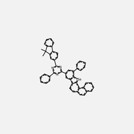 CC1(C)c2ccccc2-c2ccc(-c3nc(-c4ccccc4)nc(-c4cc(-c5ccccc5)c5[se]c6c(ccc7ccc8ccccc8c76)c5c4)n3)cc21